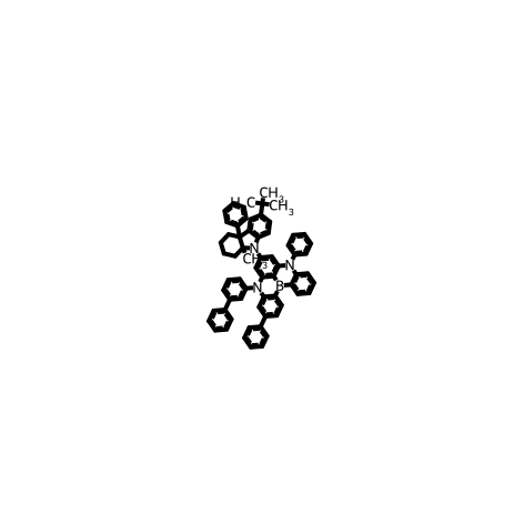 CC(C)(C)c1ccc2c(c1)C1(c3ccccc3)CCCCC1(C)N2c1cc2c3c(c1)N(c1cccc(-c4ccccc4)c1)c1cc(-c4ccccc4)ccc1B3c1ccccc1N2c1ccccc1